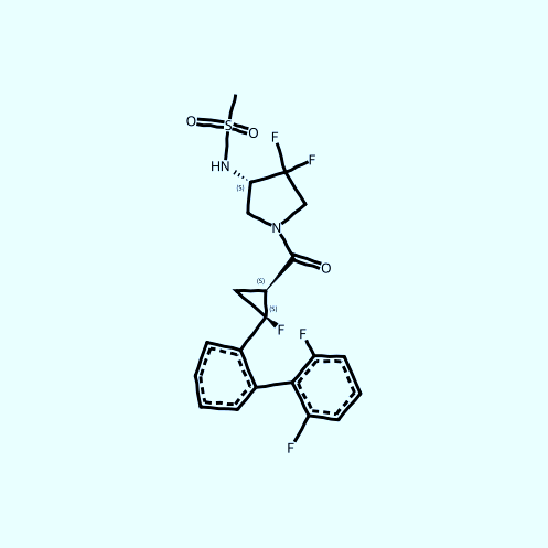 CS(=O)(=O)N[C@H]1CN(C(=O)[C@@H]2C[C@@]2(F)c2ccccc2-c2c(F)cccc2F)CC1(F)F